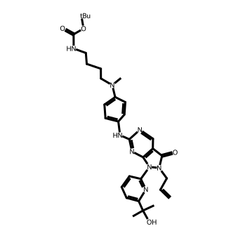 C=CCn1c(=O)c2cnc(Nc3ccc(N(C)CCCCNC(=O)OC(C)(C)C)cc3)nc2n1-c1cccc(C(C)(C)O)n1